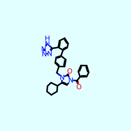 O=C(c1ccccc1)n1cc(C2CCCCC2)n(Cc2ccc(-c3ccccc3-c3nnn[nH]3)cc2)c1=O